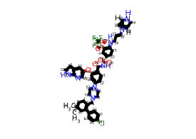 CC1(C)CCC(CN2CCN(c3ccc(C(=O)NS(=O)(=O)c4ccc(NCCCN5C[C@H]6C[C@@H]5CN6)c(S(=O)(=O)C(F)(F)F)c4)c(Oc4cnc5[nH]ccc5c4)c3)CC2)=C(c2ccc(Cl)cc2)C1